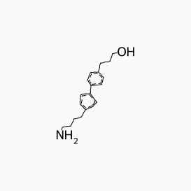 NCCCCc1ccc(-c2ccc(CCCO)cc2)cc1